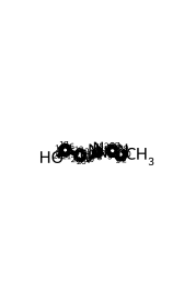 Cc1ccc2cc(-n3cc(CN4CCC(c5cccc(O)c5)CC4)nn3)ccc2n1